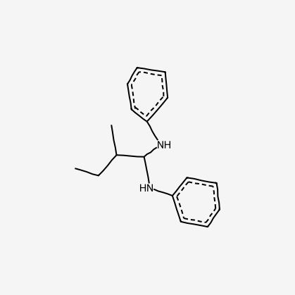 CCC(C)C(Nc1ccccc1)Nc1ccccc1